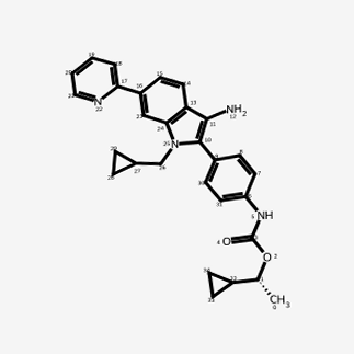 C[C@@H](OC(=O)Nc1ccc(-c2c(N)c3ccc(-c4ccccn4)cc3n2CC2CC2)cc1)C1CC1